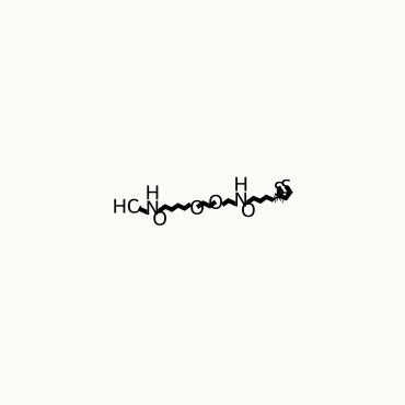 C#CCNC(=O)CCCCCOCCOCCCNC(=O)CCCC[C@@H]1CCSS1